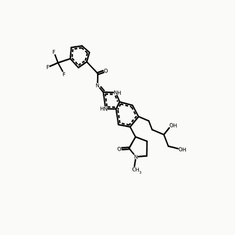 CN1CCC(c2cc3[nH]/c(=N/C(=O)c4cccc(C(F)(F)F)c4)[nH]c3cc2CCC(O)CO)C1=O